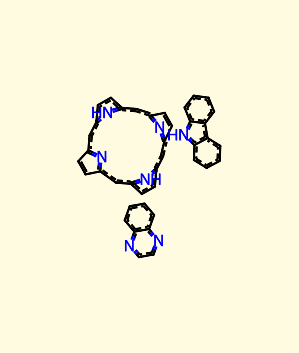 C1=Cc2cc3ccc(cc4nc(cc5ccc(cc1n2)[nH]5)C=C4)[nH]3.c1ccc2c(c1)[nH]c1ccccc12.c1ccc2nccnc2c1